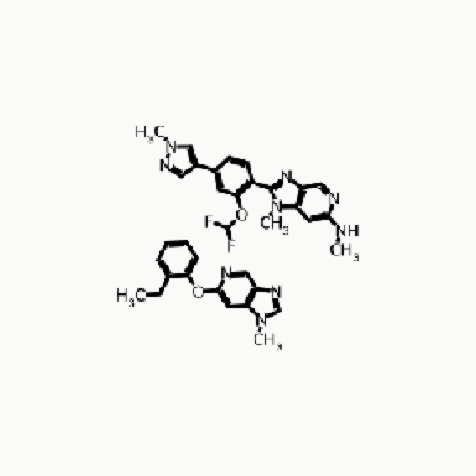 CCc1ccccc1Oc1cc2c(cn1)ncn2C.CNc1cc2c(cn1)nc(-c1ccc(-c3cnn(C)c3)cc1OC(F)F)n2C